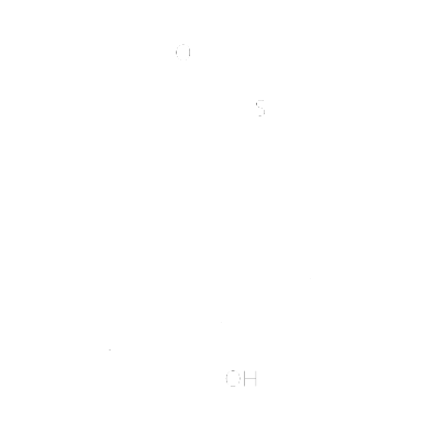 CSC(=O)Cc1cc(C(C)(C)C)c(O)c(C(C)(C)C)c1